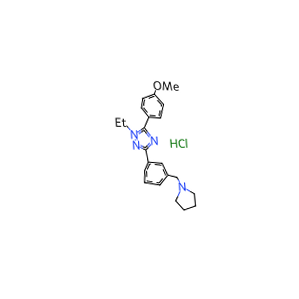 CCn1nc(-c2cccc(CN3CCCC3)c2)nc1-c1ccc(OC)cc1.Cl